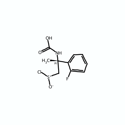 C[C@@](C[S+]([O-])Cl)(NC(=O)O)c1ccccc1F